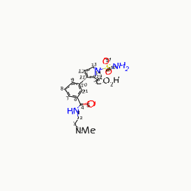 CNCCNC(=O)c1cccc(-c2ccn(S(N)(=O)=O)c2C(=O)O)c1